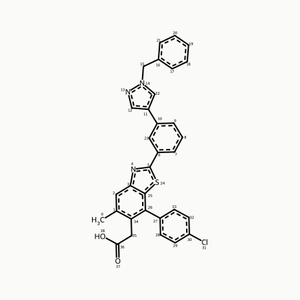 Cc1cc2nc(-c3cccc(-c4cnn(Cc5ccccc5)c4)c3)sc2c(-c2ccc(Cl)cc2)c1CC(=O)O